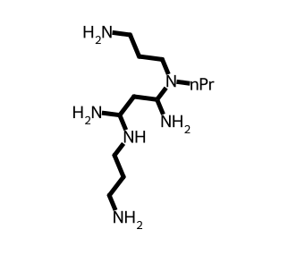 CCCN(CCCN)C(N)CC(N)NCCCN